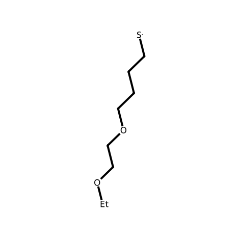 CCOCCOCCCC[S]